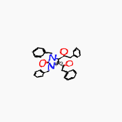 O=C(Cc1ccccc1)C1[C@H](C(=O)Cc2ccccc2)N(Cc2ccccc2)C(=O)N1Cc1ccccc1